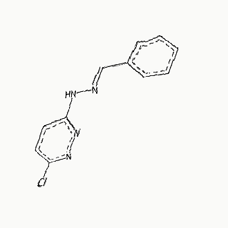 Clc1ccc(N/N=C/c2ccccc2)nn1